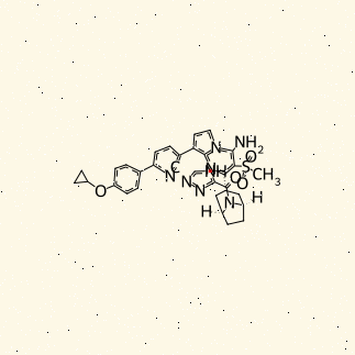 CS(=O)(=O)c1c([C@@H]2C[C@H]3CC[C@@H](C2)N3C(=O)c2nnc[nH]2)nc2c(-c3ccc(-c4ccc(OC5CC5)cc4)nc3)ccn2c1N